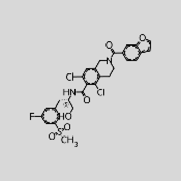 CS(=O)(=O)c1cc(F)cc(C[C@@H](CO)NC(=O)c2c(Cl)cc3c(c2Cl)CCN(C(=O)c2ccc4ccoc4c2)C3)c1